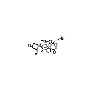 COC1(CCCBr)OCC(=O)[C@@]2(O1)[C@H](C)CC1C3C[C@H](F)C4=CC(=O)C=C[C@]4(C)[C@@]3(F)[C@@H](O)C[C@@]12C